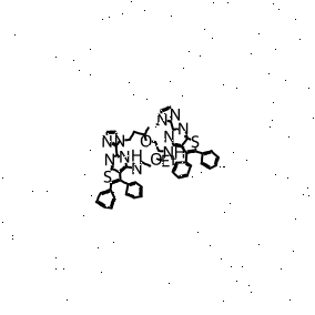 CCOCCNc1nc(-c2nccn2CCC(C)OCCNc2nc(-c3nccn3C)nc3sc(-c4ccccc4)c(-c4ccccc4)c23)nc2sc(-c3ccccc3)c(-c3ccccc3)c12